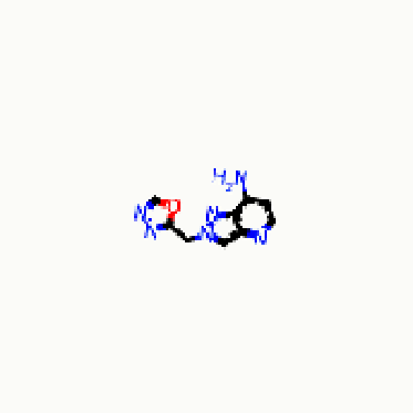 Nc1ccnc2cn(Cc3nnco3)nc12